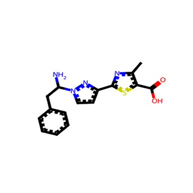 Cc1nc(-c2ccn(C(N)Cc3ccccc3)n2)sc1C(=O)O